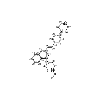 CCN1CCN(c2nc(C=Cc3ccc(N4CCOCC4)cc3)cc3ccccc23)CC1